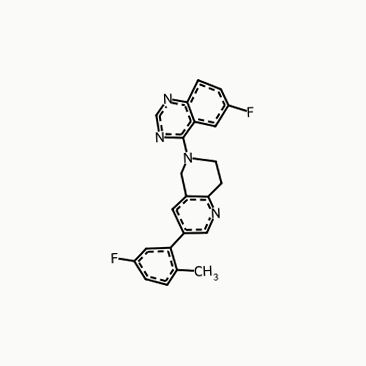 Cc1ccc(F)cc1-c1cnc2c(c1)CN(c1ncnc3ccc(F)cc13)CC2